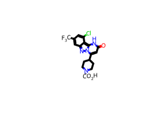 O=C(O)N1CCC(c2cc(=O)[nH]c3c4c(Cl)cc(C(F)(F)F)cc4nn23)CC1